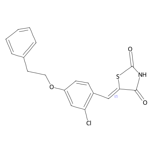 O=C1NC(=O)/C(=C/c2ccc(OCCc3ccccc3)cc2Cl)S1